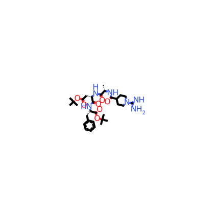 C[C@H](NC(=O)C1CCN(C(=N)N)CC1)C(=O)N[C@@H](CC(=O)OC(C)(C)C)C(=O)N[C@@H](Cc1ccccc1)C(=O)OC(C)(C)C